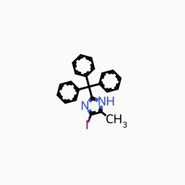 Cc1[nH]c(C(c2ccccc2)(c2ccccc2)c2ccccc2)nc1I